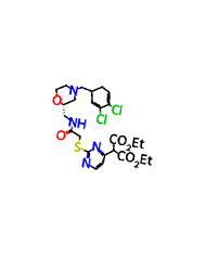 CCOC(=O)C(C(=O)OCC)c1ccnc(SCC(=O)NC[C@H]2CN(CC3C=C(Cl)C(Cl)=CC3)CCO2)n1